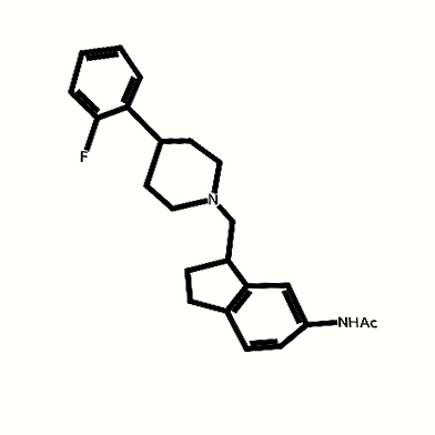 CC(=O)Nc1ccc2c(c1)C(CN1CCC(c3ccccc3F)CC1)CC2